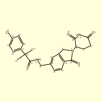 O=C1CCC(N2Cc3cc(CNC(=O)C(F)(F)c4ccc(Cl)cn4)ccc3C2=O)C(=O)N1